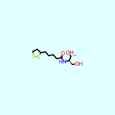 C[C@@H](O)[C@@H](CO)NC(=O)CCCCC1CCSS1